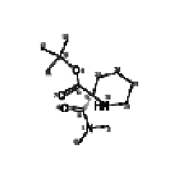 CN(C)C(=O)[C@]1(C(=O)OC(C)(C)C)CCCCN1